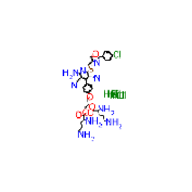 Cl.Cl.Cl.Cl.N#Cc1c(N)nc(SCc2coc(-c3ccc(Cl)cc3)n2)c(C#N)c1-c1ccc(OC[C@@H](COC(=O)[C@@H](N)CCCN)OC(=O)C(N)CCCN)cc1